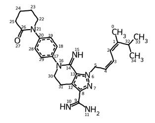 C/C(=C/C=C\Cn1nc(C(=N)N)c2c1C(=N)N(c1ccc(N3CCCCC3=O)cc1)CC2)C(C)C